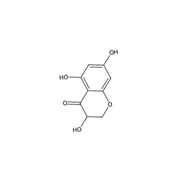 O=C1c2c(O)cc(O)cc2OCC1O